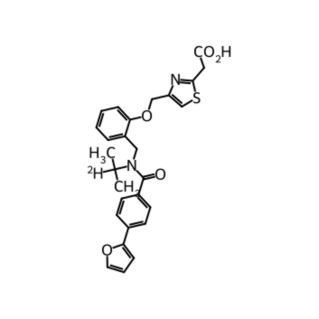 [2H]C(C)(C)N(Cc1ccccc1OCc1csc(CC(=O)O)n1)C(=O)c1ccc(-c2ccco2)cc1